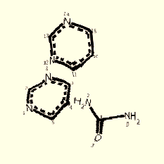 NC(N)=O.c1cncnc1.c1cncnc1